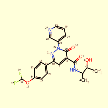 CC(O)C(C)NC(=O)c1cc(-c2ccc(OC(F)F)cc2)nn(-c2cccnc2)c1=O